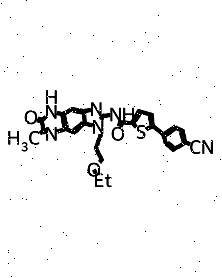 CCOCCCn1c(NC(=O)c2ccc(-c3ccc(C#N)cc3)s2)nc2cc3[nH]c(=O)c(C)nc3cc21